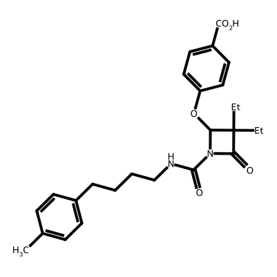 CCC1(CC)C(=O)N(C(=O)NCCCCc2ccc(C)cc2)C1Oc1ccc(C(=O)O)cc1